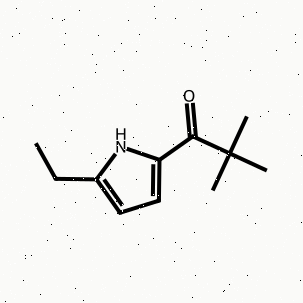 CCc1ccc(C(=O)C(C)(C)C)[nH]1